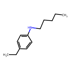 CCCCCNc1ccc(CC)cc1